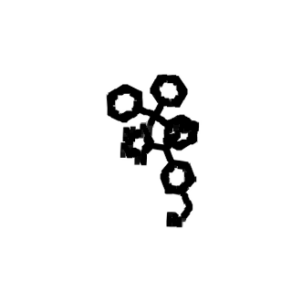 CC(C)(C)C=C(c1ccc(CBr)cc1)c1nnnn1C(c1ccccc1)(c1ccccc1)c1ccccc1